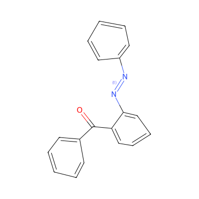 O=C(c1ccccc1)c1ccccc1/N=N/c1ccccc1